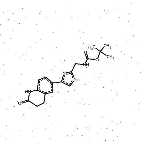 CC(C)(C)OC(=O)NCc1nc(-c2ccc3c(c2)CCC(=O)N3)c[nH]1